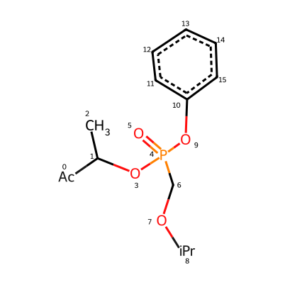 CC(=O)C(C)OP(=O)(COC(C)C)Oc1ccccc1